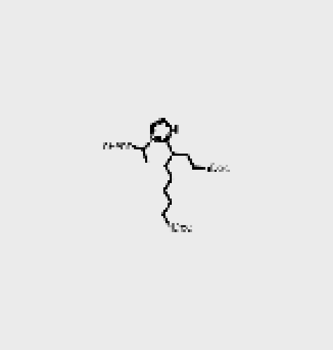 CCCCCCCCCCCCCCCC(CCCCCCCCCCCC)c1[nH]cc[n+]1C(C)CCCCC